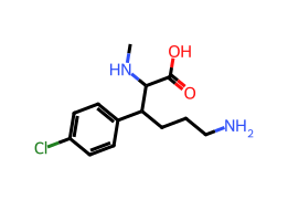 CNC(C(=O)O)C(CCCN)c1ccc(Cl)cc1